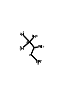 [2H]C(CCCC)C([2H])([2H])[2H]